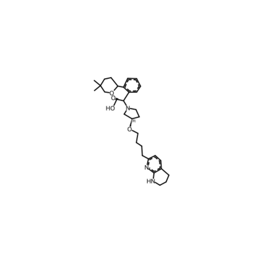 CC1(C)CCC(c2ccccc2C(C(=O)O)N2CC[C@@H](OCCCCc3ccc4c(n3)NCCC4)C2)OC1